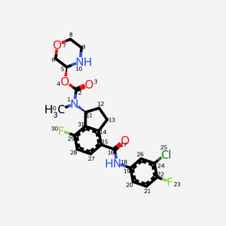 CN(C(=O)O[C@H]1COCCN1)[C@H]1CCc2c(C(=O)Nc3ccc(F)c(Cl)c3)ccc(F)c21